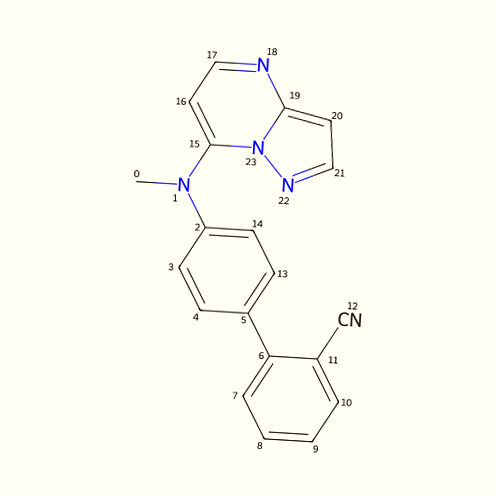 CN(c1ccc(-c2ccccc2C#N)cc1)c1ccnc2ccnn12